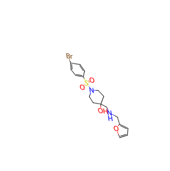 O=S(=O)(c1ccc(Br)cc1)N1CCC(O)(CNCc2ccco2)CC1